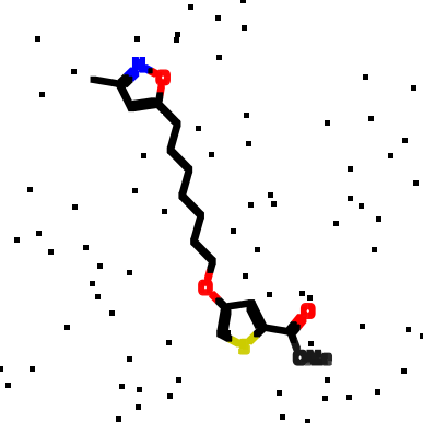 COC(=O)c1cc(OCCCCCCCc2cc(C)no2)cs1